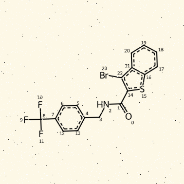 O=C(NCc1ccc(C(F)(F)F)cc1)c1sc2ccccc2c1Br